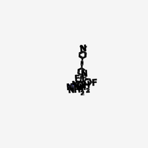 CN(C)c1ccc(C#Cc2ccc(C(F)(F)C(O)(CN(N)/C=N\N)c3ccc(F)cc3F)nc2)cc1